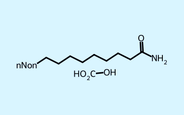 CCCCCCCCCCCCCCCCCC(N)=O.O=C(O)O